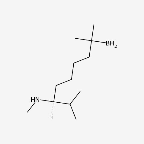 BC(C)(C)CCCC[C@](C)(NC)C(C)C